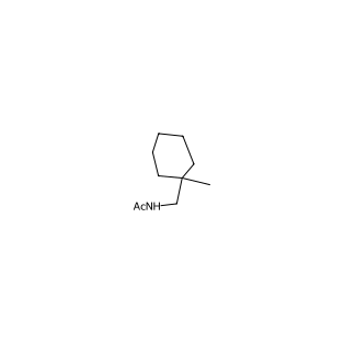 CC(=O)NCC1(C)CCCCC1